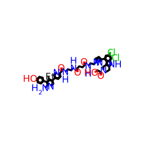 CCc1c(-c2ccc(C(=O)NCCNC(=O)CCC(=O)NCCn3ccc(-c4cc(Cl)c(Cl)c5[nH]c6c(c45)CN(C(=O)CO)CC6)n3)nc2)cnc(N)c1-c1ccc(O)cc1